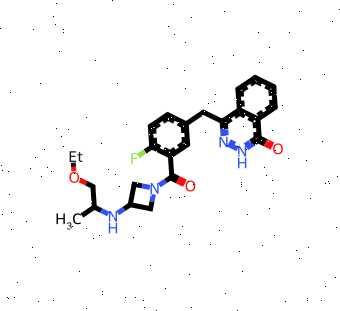 CCOCC(C)NC1CN(C(=O)c2cc(Cc3n[nH]c(=O)c4ccccc34)ccc2F)C1